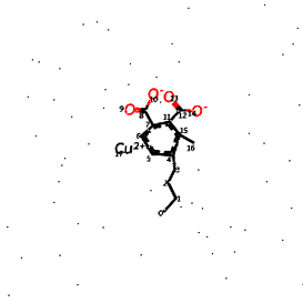 CCCCc1ccc(C(=O)[O-])c(C(=O)[O-])c1C.[Cu+2]